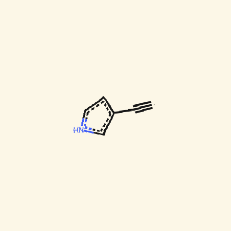 [C]#Cc1cc[nH]c1